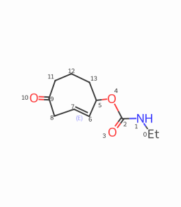 CCNC(=O)OC1/C=C/CC(=O)CCC1